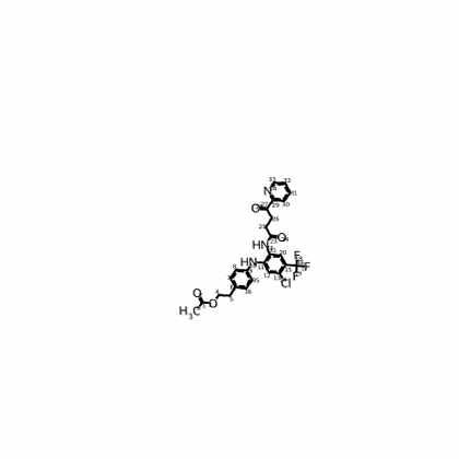 CC(=O)OCCc1ccc(Nc2cc(Cl)c(C(F)(F)F)cc2NC(=O)CCC(=O)c2ccccn2)cc1